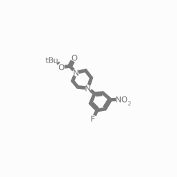 CC(C)(C)OC(=O)N1CCN(c2cc(F)cc([N+](=O)[O-])c2)CC1